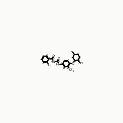 CC1CCC(C(C)C)C(Oc2ccc(NC(=O)NC(=O)c3ccccc3Cl)cc2C(F)(F)F)C1